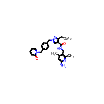 COCc1nn(Cc2ccc(Cn3ccccc3=O)cc2)cc1C(=O)NCc1c(C)cc(N)nc1C